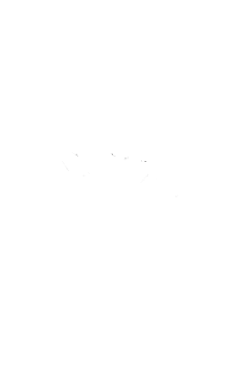 CC1=C(COC(=O)N(C)[C@H](C)Cc2ccc3c(c2)OCO3)OCO1